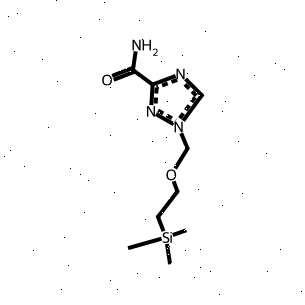 C[Si](C)(C)CCOCn1cnc(C(N)=O)n1